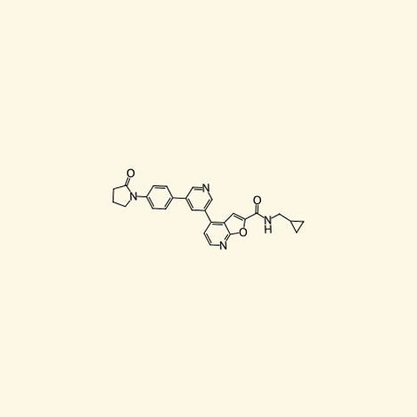 O=C(NCC1CC1)c1cc2c(-c3cncc(-c4ccc(N5CCCC5=O)cc4)c3)ccnc2o1